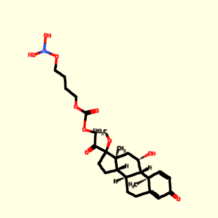 CCOC(=O)O[C@]1(C(=O)COC(=O)OCCCCON(O)O)CC[C@H]2[C@@H]3CCC4=CC(=O)C=C[C@]4(C)[C@H]3[C@@H](O)C[C@@]21C